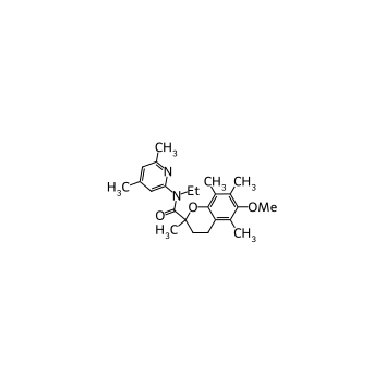 CCN(C(=O)C1(C)CCc2c(C)c(OC)c(C)c(C)c2O1)c1cc(C)cc(C)n1